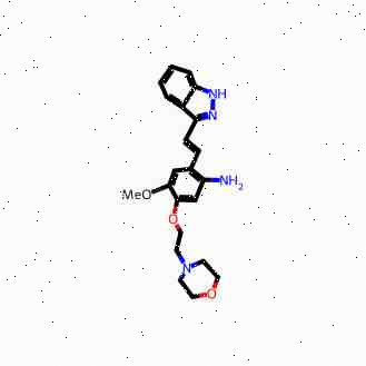 COc1cc(C=Cc2n[nH]c3ccccc23)c(N)cc1OCCN1CCOCC1